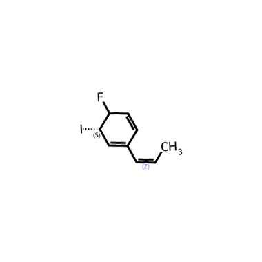 C/C=C\C1=C[C@H](I)C(F)C=C1